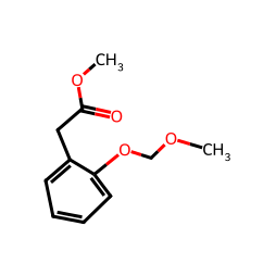 COCOc1ccccc1CC(=O)OC